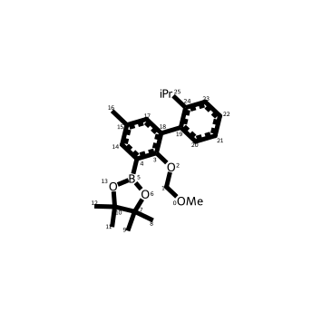 COCOc1c(B2OC(C)(C)C(C)(C)O2)cc(C)cc1-c1ccccc1C(C)C